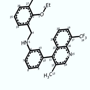 CCOc1c(CNc2cccc(-c3c(C)cnc4c(C(F)(F)F)cccc34)c2)cccc1OC